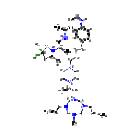 C=CCN1CN(CC)CN(CC=C)CN(CC(=C)N2CCN(CCCCc3ccc4nccc(C(=C)NCC(=C)N5CC(F)(F)CC5C#N)c4c3)CC2)C1